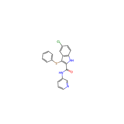 O=C(Nc1cccnc1)c1[nH]c2ccc(Cl)cc2c1Sc1ccccc1